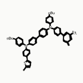 CCCCc1ccc(N(c2ccc(-c3ccc(N(c4ccc(CCCC)cc4)c4ccc(-c5ccc(C)s5)cc4)cc3)cc2)c2ccc(-c3cc(C)cc(CC)c3)cc2)cc1